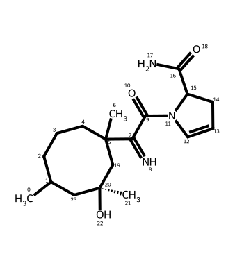 CC1CCCC(C)(C(=N)C(=O)N2C=CCC2C(N)=O)C[C@@](C)(O)C1